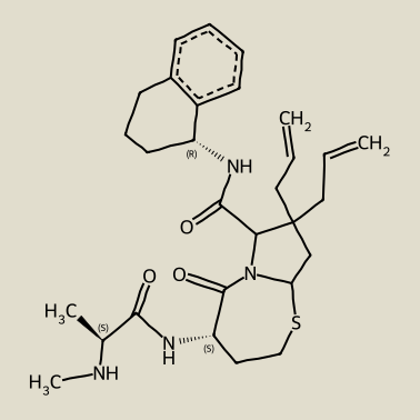 C=CCC1(CC=C)CC2SCC[C@H](NC(=O)[C@H](C)NC)C(=O)N2C1C(=O)N[C@@H]1CCCc2ccccc21